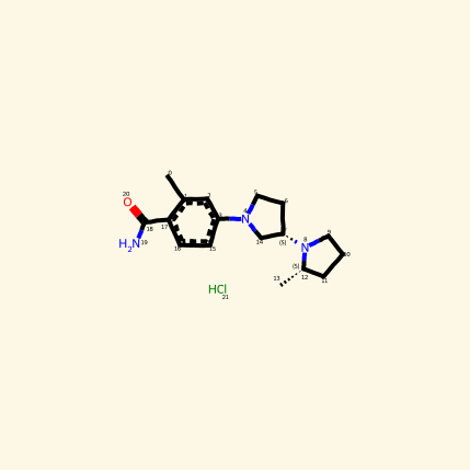 Cc1cc(N2CC[C@H](N3CCC[C@@H]3C)C2)ccc1C(N)=O.Cl